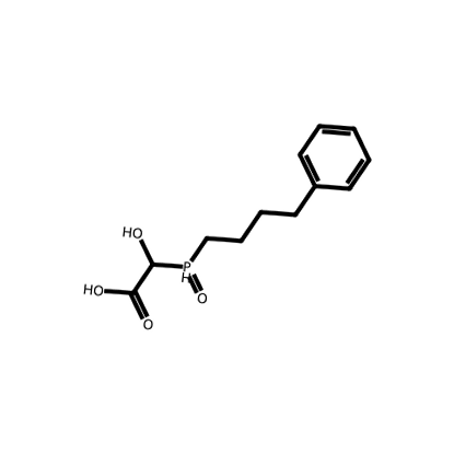 O=C(O)C(O)[PH](=O)CCCCc1ccccc1